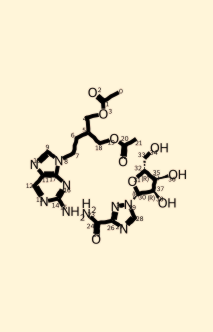 CC(=O)OCC(CCn1cnc2cnc(N)nc21)COC(C)=O.NC(=O)c1ncn([C@@H]2O[C@H](CO)[C@@H](O)[C@H]2O)n1